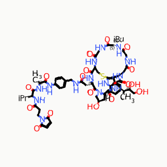 CC[C@H](C)[C@@H]1NC(=O)CNC(=O)C2Cc3c([nH]c4ccccc34)SCC(NC(=O)CNC1=O)C(=O)N[C@@H](CC(=O)NCc1ccc(NC(=O)[C@H](C)NC(=O)C(NC(=O)CCN3C(=O)C=CC3=O)C(C)C)cc1)C(=O)N1CC(O)C[C@H]1C(=O)N[C@@H](C(C)[C@@H](O)CO)C(=O)N2